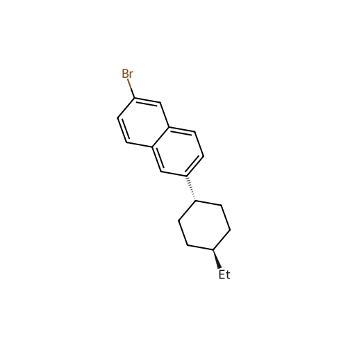 CC[C@H]1CC[C@H](c2ccc3cc(Br)ccc3c2)CC1